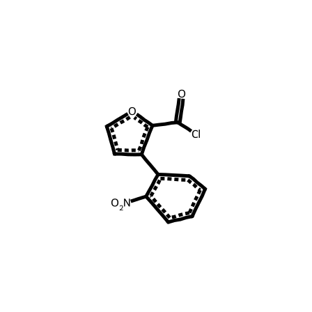 O=C(Cl)c1occc1-c1ccccc1[N+](=O)[O-]